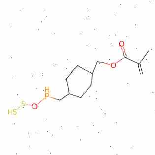 C=C(C)C(=O)OCC1CCC(CPOSS)CC1